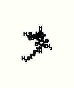 CCCSSCCNC1=C(C)C(=O)C2=C(C1=O)[C@@H](COC(N)=O)[C@@]1(OC)[C@H]3NC3CN21